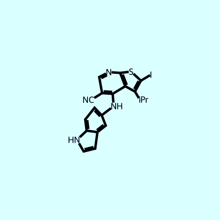 CC(C)c1c(I)sc2ncc(C#N)c(Nc3ccc4[nH]ccc4c3)c12